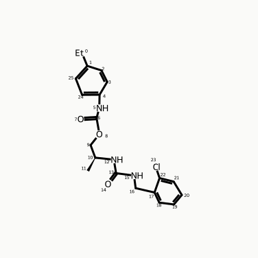 CCc1ccc(NC(=O)OC[C@H](C)NC(=O)NCc2ccccc2Cl)cc1